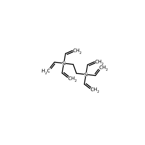 C=C[Si](C=C)(C=C)CC[Si](C=C)(C=C)C=C